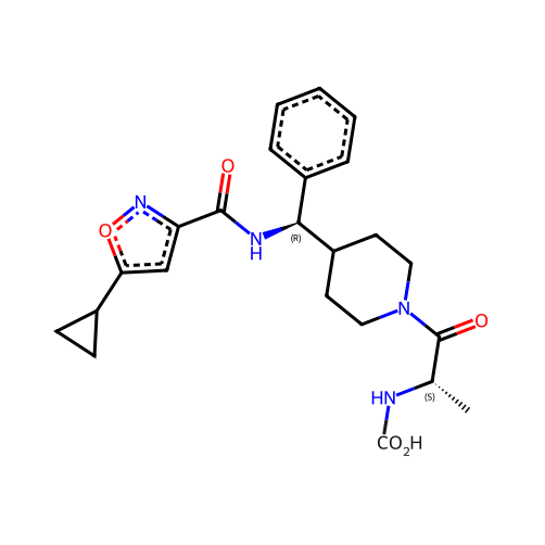 C[C@H](NC(=O)O)C(=O)N1CCC([C@@H](NC(=O)c2cc(C3CC3)on2)c2ccccc2)CC1